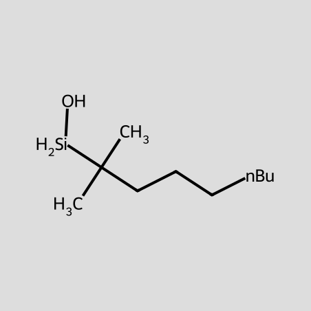 CCCCCCCC(C)(C)[SiH2]O